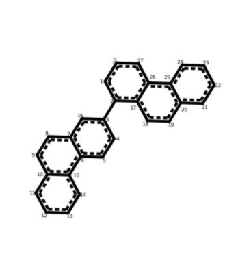 [c]1cc(-c2ccc3c(ccc4ccccc43)c2)c2ccc3ccccc3c2c1